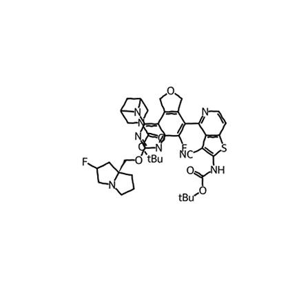 CC(C)(C)OC(=O)Nc1sc2ccnc(-c3c4c(c5c(N6C7CC6CN(C(=O)OC(C)(C)C)C7)nc(OC[C@@]67CCCN6CC(F)C7)nc5c3F)COC4)c2c1C#N